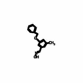 Cc1cc(/C=N/O)cc(OCc2ccccc2)c1